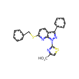 O=C(O)c1csc(-n2nc(-c3ccccc3)c3ccc(SCc4ccccc4)nc32)n1